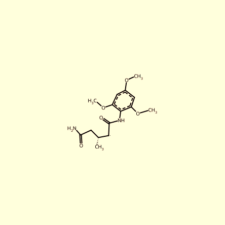 COc1cc(OC)c(NC(=O)[CH][C@H](C)CC(N)=O)c(OC)c1